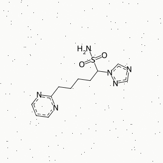 NS(=O)(=O)C(CCCCc1ncccn1)n1cncn1